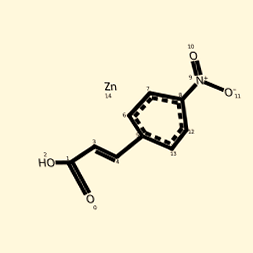 O=C(O)C=Cc1ccc([N+](=O)[O-])cc1.[Zn]